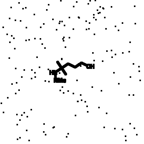 CNNC(C)(C)CCCO